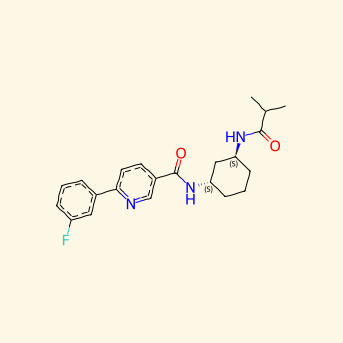 CC(C)C(=O)N[C@H]1CCC[C@H](NC(=O)c2ccc(-c3cccc(F)c3)nc2)C1